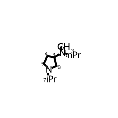 CCCN(C)C1CCN(C(C)C)C1